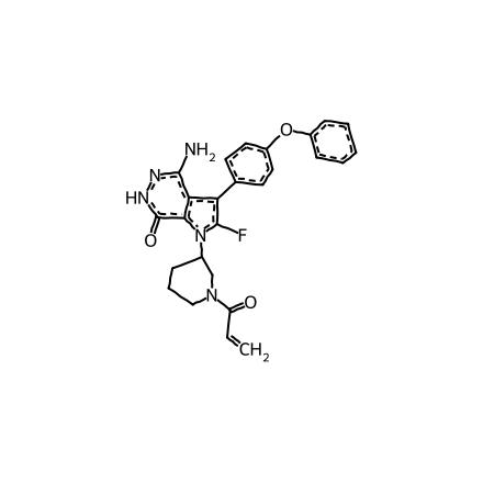 C=CC(=O)N1CCCC(n2c(F)c(-c3ccc(Oc4ccccc4)cc3)c3c(N)n[nH]c(=O)c32)C1